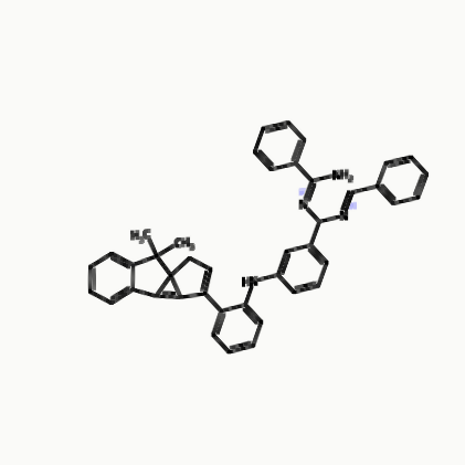 CC1(C)c2ccccc2C2=C3C(c4ccccc4Nc4cccc(C(/N=C(\N)c5ccccc5)/N=C/c5ccccc5)c4)=CCC321